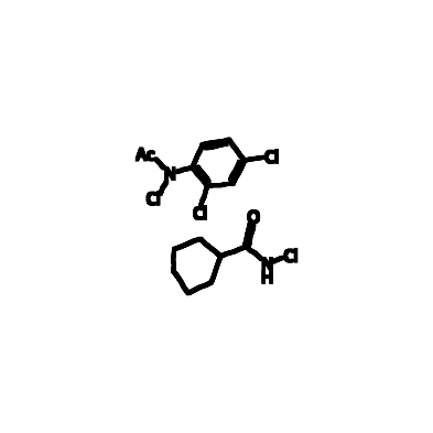 CC(=O)N(Cl)c1ccc(Cl)cc1Cl.O=C(NCl)C1CCCCC1